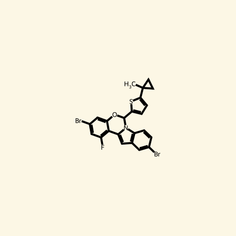 CC1(c2ccc(C3Oc4cc(Br)cc(F)c4-c4cc5cc(Br)ccc5n43)s2)CC1